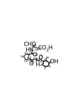 Cc1c(O)cccc1C(=O)NCC(=O)N1CCC[C@H]1C(=O)N[C@H](C=O)CC(=O)O